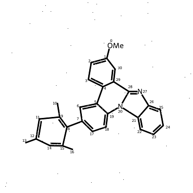 COc1ccc2c3cc(-c4c(C)cc(C)cc4C)ccc3n3c4ccccc4nc3c2c1